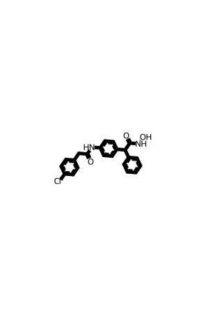 O=C(Cc1ccc(Cl)cc1)Nc1ccc(C(C(=O)NO)c2ccccc2)cc1